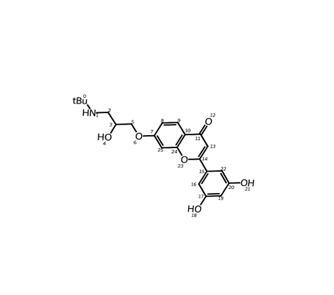 CC(C)(C)NCC(O)COc1ccc2c(=O)cc(-c3cc(O)cc(O)c3)oc2c1